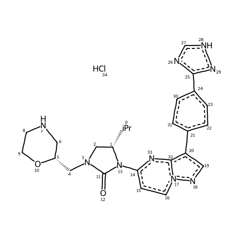 CC(C)[C@H]1CN(C[C@H]2CNCCO2)C(=O)N1c1ccn2ncc(-c3ccc(-c4nc[nH]n4)cc3)c2n1.Cl